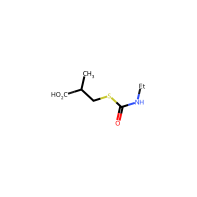 CCNC(=O)SCC(C)C(=O)O